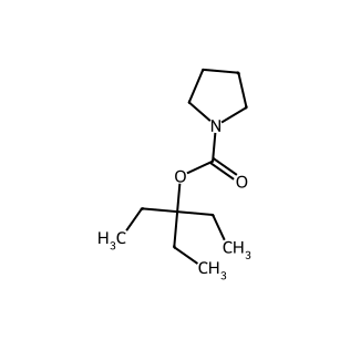 CCC(CC)(CC)OC(=O)N1CCCC1